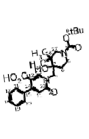 CC(C)(C)OC(=O)N1CCC(O)(Cn2cc(C(=O)O)c(-c3ccccc3)cc2=O)C(C)(C)C1